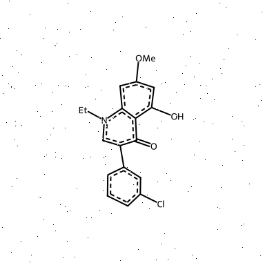 CCn1cc(-c2cccc(Cl)c2)c(=O)c2c(O)cc(OC)cc21